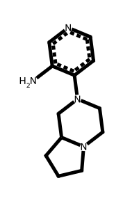 Nc1cnccc1N1CCN2CCCC2C1